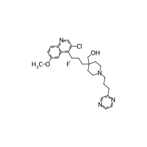 COc1ccc2ncc(Cl)c([C@@H](F)CCC3(CO)CCN(CCCc4cnccn4)CC3)c2c1